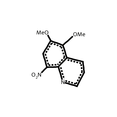 COc1cc([N+](=O)[O-])c2ncccc2c1OC